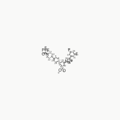 COC(=O)c1cc(-c2ccc(C3CCN(C(=O)C(F)(F)F)CC3)cc2)cc(-n2cc(-c3cc(F)cc(F)c3)nn2)c1